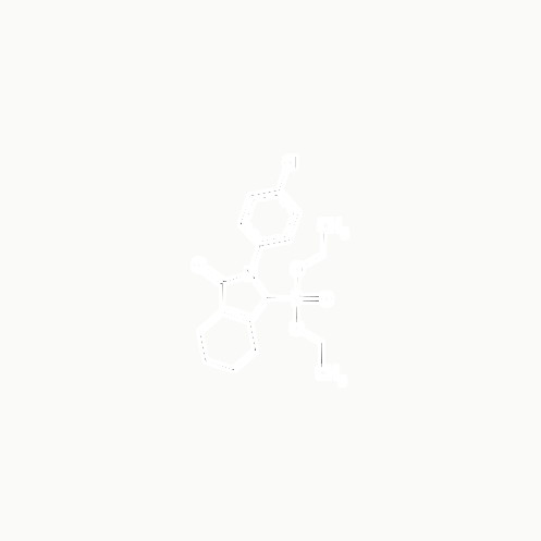 CCOP(=O)(OCC)C1C2=C(CCCC2)C(=O)N1c1ccc(Cl)cc1